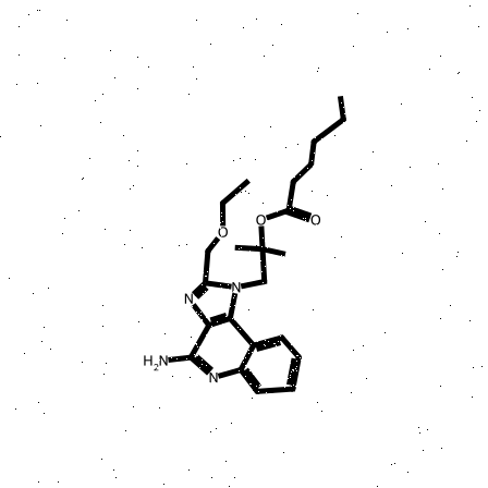 CCCCCC(=O)OC(C)(C)Cn1c(COCC)nc2c(N)nc3ccccc3c21